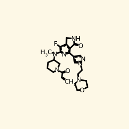 C=CC(=O)N1CCCC(N(C)c2nc(-c3cnn(CCN4CCOCC4)c3)c3c(c2F)CNC3=O)C1